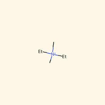 CC[N+](C)(C)CC